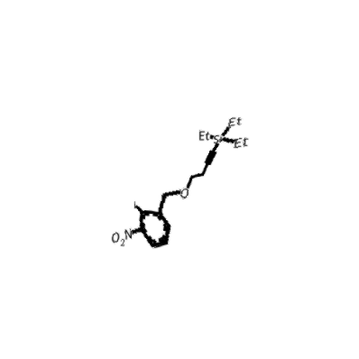 CC[Si](C#CCCOCc1cccc([N+](=O)[O-])c1I)(CC)CC